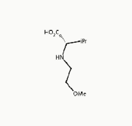 COCCN[C@H](C(=O)O)C(C)C